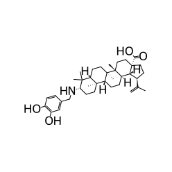 C=C(C)[C@@H]1CC[C@]2(C(=O)O)CC[C@]3(C)[C@H](CC[C@@H]4[C@@]5(C)CC[C@H](NCc6ccc(O)c(O)c6)C(C)(C)[C@@H]5CC[C@]43C)[C@@H]12